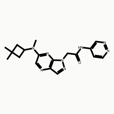 CN(c1cnc2cnn(CC(=O)Nc3ccnnc3)c2n1)C1CC(C)(C)C1